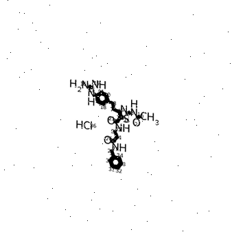 CC(=O)Nc1nc(CCc2ccc(NC(=N)N)cc2)c(C(=O)NCCC(=O)NCc2ccccc2)s1.Cl